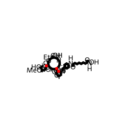 CC[C@H]1OC(=O)[C@H](C)[C@@H](O[C@H]2C[C@@](C)(OC)[C@@H](O)[C@H](C)O2)[C@H](C)[C@@H](O[C@@H]2O[C@H](C)C[C@H](N(C)Cc3ccc(NC(=O)CCCCCCC(=O)NO)cc3)[C@H]2O)[C@](C)(O)C[C@@H](C)CN(C)[C@H](C)[C@@H](O)[C@]1(C)O